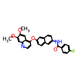 COc1cc2nccc(Oc3ccc4cc(NC(=O)c5ccc(F)cc5)ccc4c3)c2cc1OC